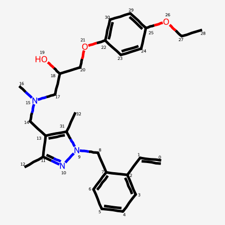 C=Cc1ccccc1Cn1nc(C)c(CN(C)CC(O)COc2ccc(OCC)cc2)c1C